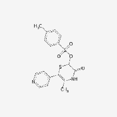 CC1=C(c2ccncc2)SC(OS(=O)(=O)c2ccc(C)cc2)C(=O)N1